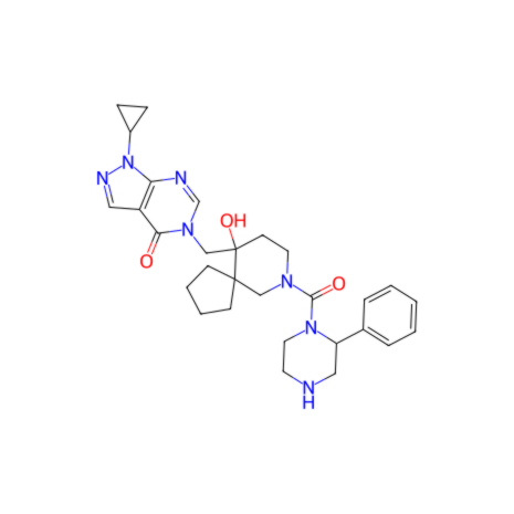 O=C(N1CCC(O)(Cn2cnc3c(cnn3C3CC3)c2=O)C2(CCCC2)C1)N1CCNCC1c1ccccc1